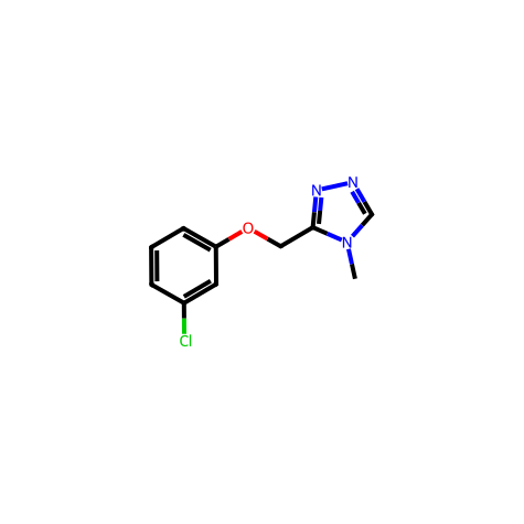 Cn1cnnc1COc1cccc(Cl)c1